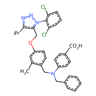 Cc1cc(OCc2c(C(C)C)nnn2-c2c(Cl)cccc2Cl)ccc1CN(Cc1ccccc1)c1ccc(C(=O)O)cc1